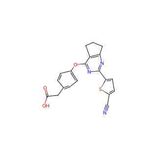 N#Cc1ccc(-c2nc3c(c(Oc4ccc(CC(=O)O)cc4)n2)CCC3)s1